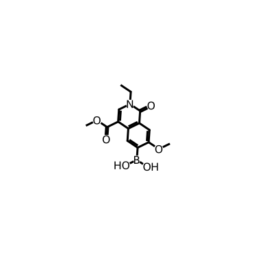 CCn1cc(C(=O)OC)c2cc(B(O)O)c(OC)cc2c1=O